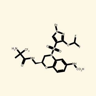 CCn1cc(S(=O)(=O)N2C[C@H](CNC(=O)C(C)(N)C(F)(F)F)Oc3ccc(NC(=O)O)cc32)c(OC(F)F)n1